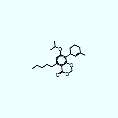 CCCCCc1cc(OC(C)C)c([C@@H]2C=C(C)CCC2)c2c1C(=O)OCO2